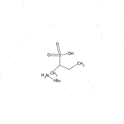 CCC(C)S(=O)(=O)O.CCCCN